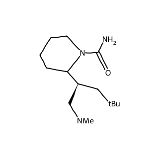 CNC[C@H](CC(C)(C)C)C1CCCCN1C(N)=O